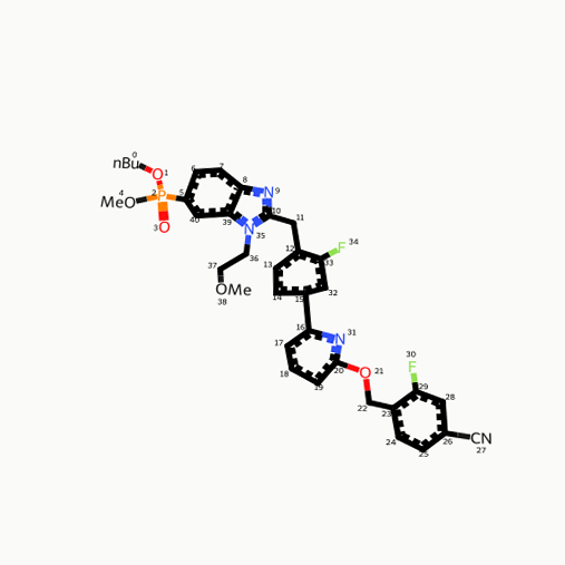 CCCCOP(=O)(OC)c1ccc2nc(Cc3ccc(-c4cccc(OCc5ccc(C#N)cc5F)n4)cc3F)n(CCOC)c2c1